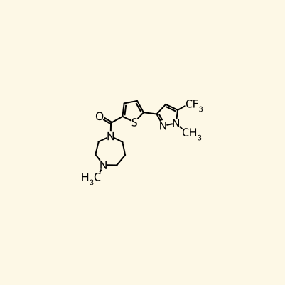 CN1CCCN(C(=O)c2ccc(-c3cc(C(F)(F)F)n(C)n3)s2)CC1